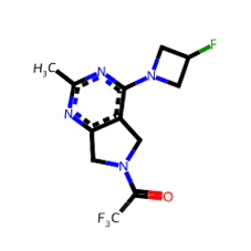 Cc1nc2c(c(N3CC(F)C3)n1)CN(C(=O)C(F)(F)F)C2